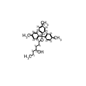 CCCC(O)CCCOC(c1ccc(C)cc1)(c1ccc(C)cc1)c1ccc(C)cc1